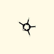 [CH2]c1oc(I)c(I)c1I